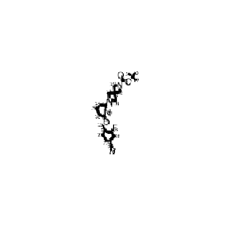 CC(C)(C)OC(=O)N1CC2(C1)CN(c1cccc(OCc3ccc(C#N)cc3F)n1)C2